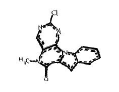 Cn1c(=O)c2cc3ccccc3n2c2nc(Cl)ncc21